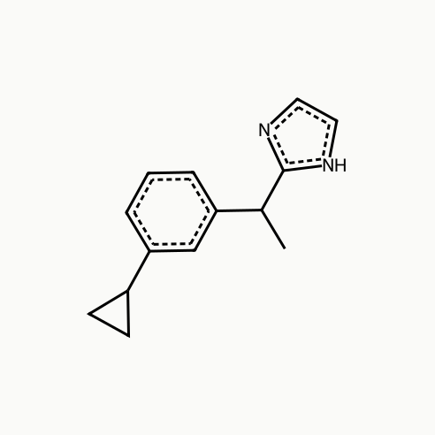 CC(c1cccc(C2CC2)c1)c1ncc[nH]1